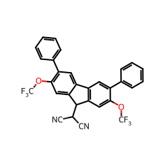 N#CC(C#N)C1c2cc(OC(F)(F)F)c(-c3ccccc3)cc2-c2cc(-c3ccccc3)c(OC(F)(F)F)cc21